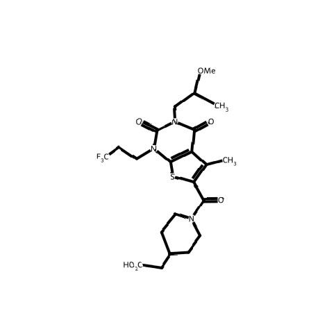 COC(C)Cn1c(=O)c2c(C)c(C(=O)N3CCC(CC(=O)O)CC3)sc2n(CCC(F)(F)F)c1=O